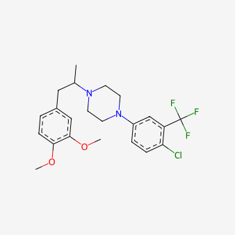 COc1ccc(CC(C)N2CCN(c3ccc(Cl)c(C(F)(F)F)c3)CC2)cc1OC